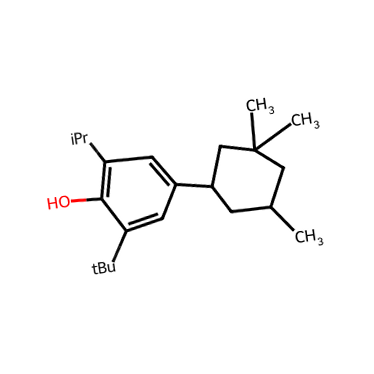 CC1CC(c2cc(C(C)C)c(O)c(C(C)(C)C)c2)CC(C)(C)C1